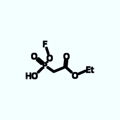 CCOC(=O)CP(=O)(O)OF